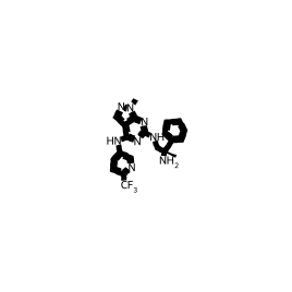 Cn1ncc2c(Nc3ccc(C(F)(F)F)nc3)nc(NC[C@@](C)(N)c3ccccc3)nc21